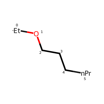 C[CH]OCCCCCC